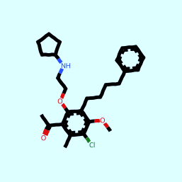 COc1c(Cl)c(C)c(C(C)=O)c(OCCNC2CCCC2)c1CCCCc1ccccc1